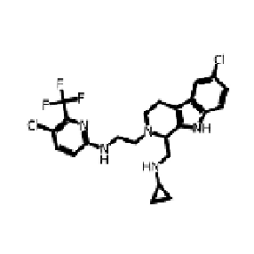 FC(F)(F)c1nc(NCCN2CCc3c([nH]c4ccc(Cl)cc34)C2CNC2CC2)ccc1Cl